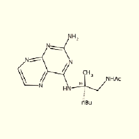 CCCC[C@](C)(CNC(C)=O)Nc1nc(N)nc2nccnc12